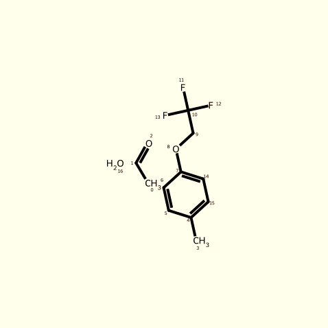 CC=O.Cc1ccc(OCC(F)(F)F)cc1.O